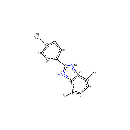 Cc1ccc(C)c2[nH]c(-c3ccc(C#N)cc3)nc12